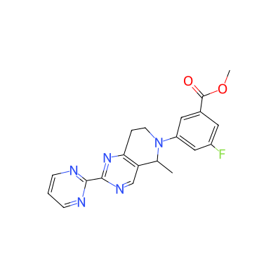 COC(=O)c1cc(F)cc(N2CCc3nc(-c4ncccn4)ncc3C2C)c1